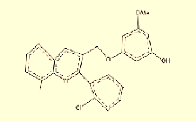 COc1cc(O)cc(OCc2cc3cccc(C)c3nc2-c2ccccc2Cl)c1